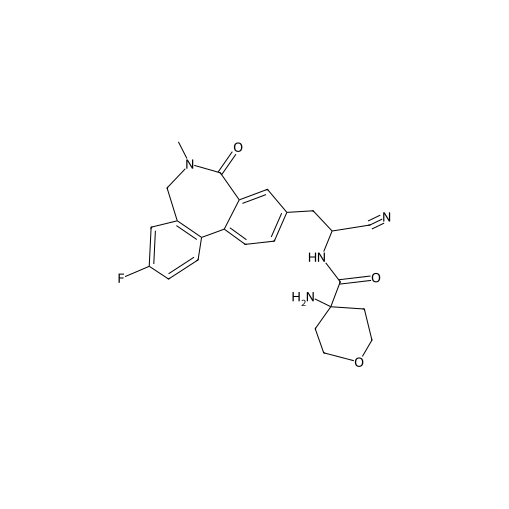 CN1Cc2cc(F)ccc2-c2ccc(CC(C#N)NC(=O)C3(N)CCOCC3)cc2C1=O